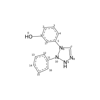 Oc1cccc(N2[C]=NNN2c2ccccc2)c1